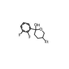 CCC1CCC(O)(c2cccc(F)c2F)OC1